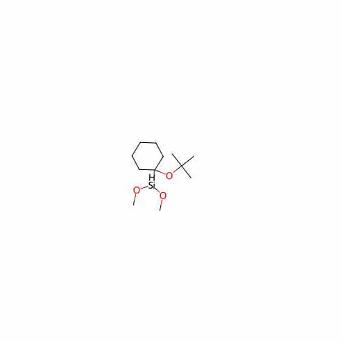 CO[SiH](OC)C1(OC(C)(C)C)CCCCC1